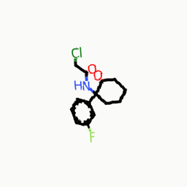 O=C(CCl)NC1(c2cccc(F)c2)CCCCC1=O